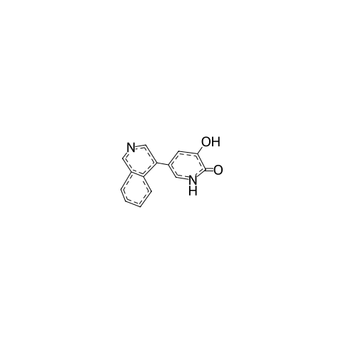 O=c1[nH]cc(-c2cncc3ccccc23)cc1O